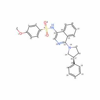 COc1ccc(S(=O)(=O)Nc2cnc(N3CC[C@@H](c4ccccc4)C3)c3ccccc23)cc1